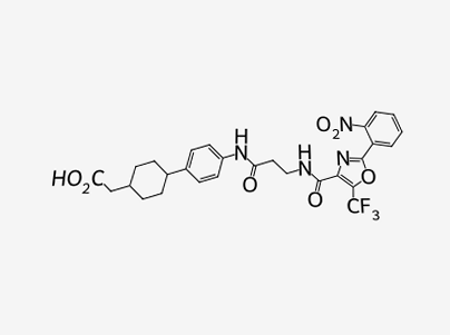 O=C(O)CC1CCC(c2ccc(NC(=O)CCNC(=O)c3nc(-c4ccccc4[N+](=O)[O-])oc3C(F)(F)F)cc2)CC1